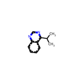 CC(C)c1ncnc2ccccc12